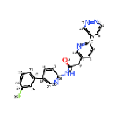 O=C(Cc1ccc(-c2ccnnc2)nc1)Nc1ccc(-c2cccc(F)c2)cn1